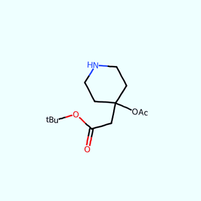 CC(=O)OC1(CC(=O)OC(C)(C)C)CCNCC1